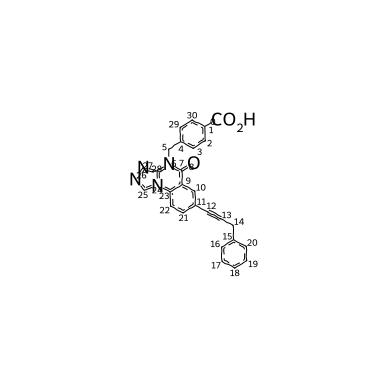 O=C(O)c1ccc(Cn2c(=O)c3cc(C#CCc4ccccc4)ccc3n3cnnc23)cc1